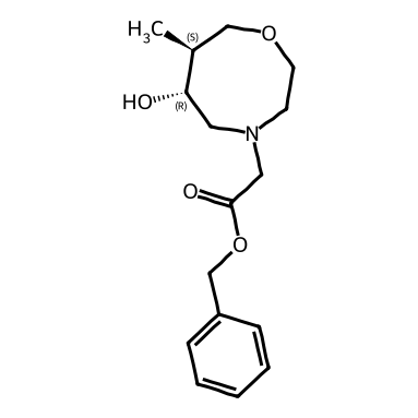 C[C@H]1COCCN(CC(=O)OCc2ccccc2)C[C@@H]1O